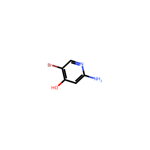 Nc1cc(O)c(Br)cn1